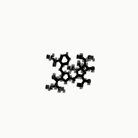 CNc1ccccc1CN1C[C@@H](SC2=C(C(=O)O)N3C(=O)[C@H]([C@@H](C)O)[C@H]3[C@H]2C)C[C@H]1C(=O)N(C)C